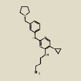 NCCCNc1nc(Nc2cccc(CN3CCCC3)c2)ncc1C1CC1